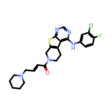 O=C(C=CCN1CCCCC1)N1CCc2c(sc3ncnc(Nc4ccc(F)c(Cl)c4)c23)C1